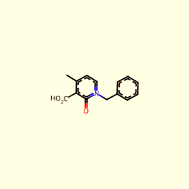 Cc1ccn(Cc2ccccc2)c(=O)c1C(=O)O